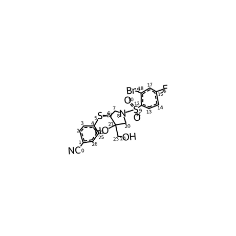 N#Cc1ccc(S[C@H]2CN(S(=O)(=O)c3ccc(F)cc3Br)CC2(O)CO)cc1